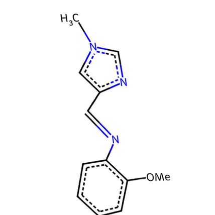 COc1ccccc1N=Cc1cn(C)cn1